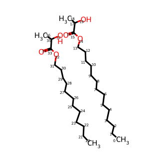 CCCCCCCCCCCCCCOC(=O)C(C)O.CCCCCCCCCCCCOC(=O)C(C)O